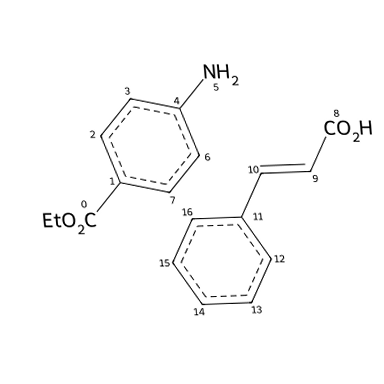 CCOC(=O)c1ccc(N)cc1.O=C(O)C=Cc1ccccc1